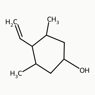 C=CC1C(C)CC(O)CC1C